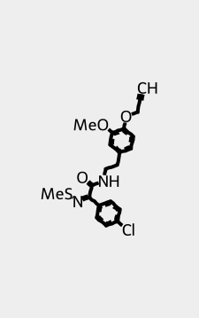 C#CCOc1ccc(CCNC(=O)/C(=N\SC)c2ccc(Cl)cc2)cc1OC